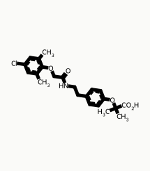 Cc1cc(Cl)cc(C)c1OCC(=O)NCCc1ccc(OC(C)(C)C(=O)O)cc1